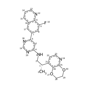 C[C@H](CNc1cc(-c2cc(F)c3ncccc3c2)ncn1)c1ccnc2c1OCCO2